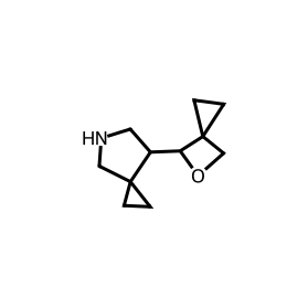 C1NCC2(CC2)C1C1OCC12CC2